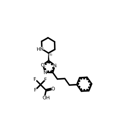 O=C(O)C(F)(F)F.c1ccc(CCCc2noc([C@@H]3CCCCN3)n2)cc1